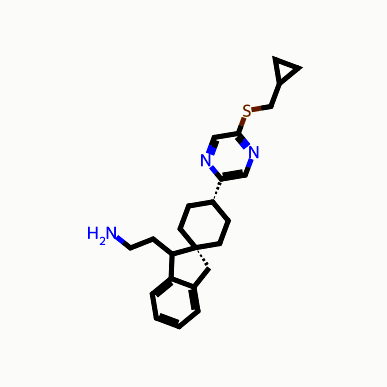 NCCC1c2ccccc2C[C@]12CC[C@@H](c1cnc(SCC3CC3)cn1)CC2